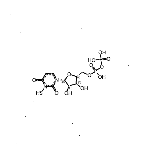 O=c1ccn([C@@H]2O[C@H](COP(=O)(O)OP(=O)(O)O)[C@@H](O)[C@H]2O)c(=O)n1S